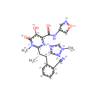 C[C@H](c1nc(C(=O)Nc2cnoc2)c(O)c(=O)n1C)[C@H](c1ncn(C)n1)c1ccccc1C#N